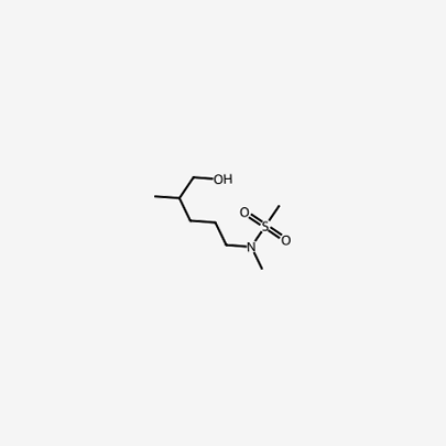 CC(CO)CCCN(C)S(C)(=O)=O